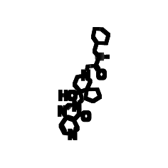 C[C@H](CC1CCCCC1)C(=O)CN1CCC(O)(Cn2cnc3ccncc3c2=O)C2(CCCC2)C1